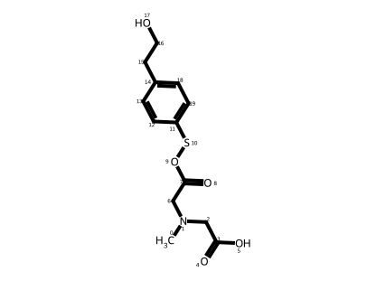 CN(CC(=O)O)CC(=O)OSc1ccc(CCO)cc1